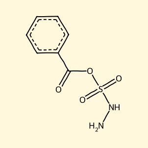 NNS(=O)(=O)OC(=O)c1ccccc1